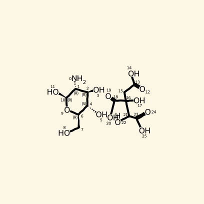 N[C@@H]1[C@@H](O)[C@H](O)[C@@H](CO)O[C@H]1O.O=C(O)CC(O)(C(=O)O)C(O)C(=O)O